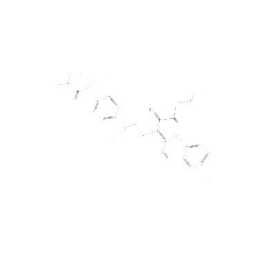 CCOC(=O)C(=N)/C(CCN(C)c1ccc(N(C)C(=O)C(C)C)cc1)=C(/C=O)Nc1ccc(OC)cc1